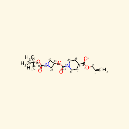 C=CCOC(=O)C1CCN(C(=O)OC2CN(C(=O)OC(C)(C)C)C2)CC1